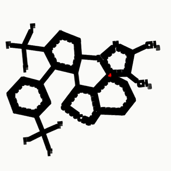 Cc1cn(-c2c[c]c(C(F)(F)F)c(-c3cccc(C(F)(F)F)c3)c2-c2cccc3ccccc23)nc1C